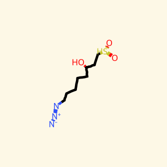 [N-]=[N+]=NCCCCCC(O)CC[SH](=O)=O